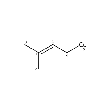 CC(C)=C[CH2][Cu]